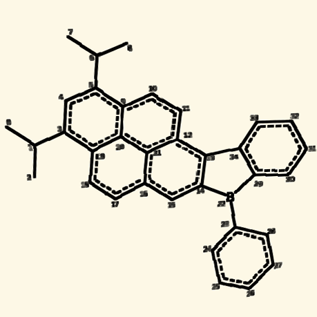 CC(C)c1cc(C(C)C)c2ccc3c4c(cc5ccc1c2c53)B(c1ccccc1)c1ccccc1-4